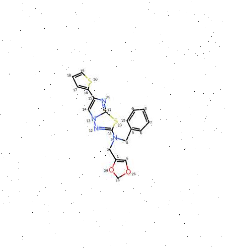 C1=C(CN(Cc2ccccc2)c2nn3cc(-c4cccs4)nc3s2)OCO1